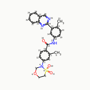 Cc1cc(N2COCCS2(=O)=O)ccc1C(=O)Nc1ccc(C)c(-c2ncc3ccccc3n2)c1